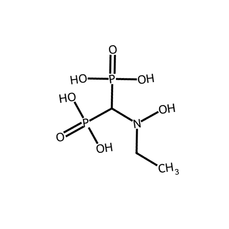 CCN(O)C(P(=O)(O)O)P(=O)(O)O